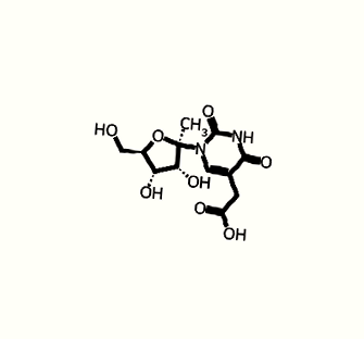 C[C@@]1(n2cc(CC(=O)O)c(=O)[nH]c2=O)O[C@H](CO)[C@@H](O)[C@H]1O